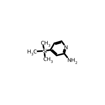 C[Si](C)(C)c1ccnc(N)c1